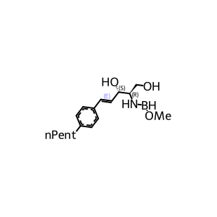 CCCCCc1ccc(/C=C/[C@H](O)[C@@H](CO)NBOC)cc1